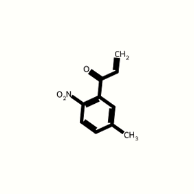 C=CC(=O)c1cc(C)ccc1[N+](=O)[O-]